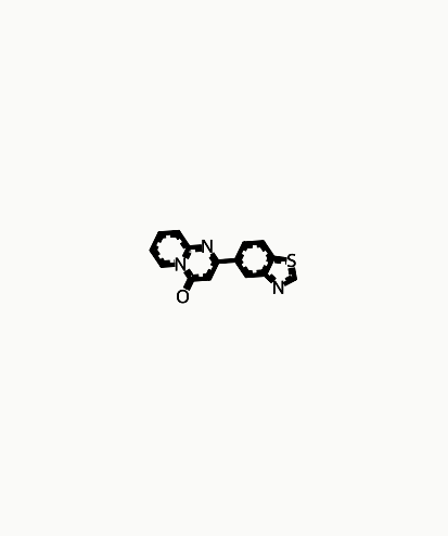 O=c1cc(-c2ccc3scnc3c2)nc2ccccn12